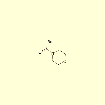 CCC(C)C(=O)N1CCOCC1